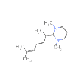 CC(C)=CCCC(C)C1N(C)CCCN1C